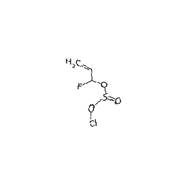 C=CC(F)OS(=O)OCl